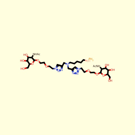 CC(=O)NC1C(OCCOCCn2cc(CN(CCCCCBP)Cc3cn(CCOCCOC4OC(CO)C(O)C(O)C4NC(C)=O)nn3)nn2)OC(CO)C(O)C1O